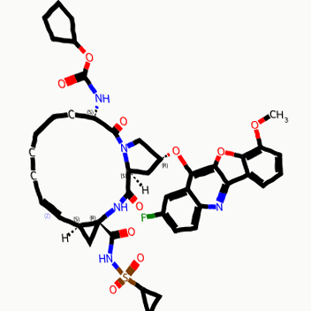 COc1cccc2c1oc1c(O[C@@H]3C[C@H]4C(=O)N[C@]5(C(=O)NS(=O)(=O)C6CC6)C[C@H]5/C=C\CCCCC[C@H](NC(=O)OC5CCCC5)C(=O)N4C3)c3cc(F)ccc3nc12